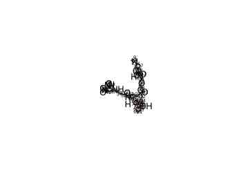 CCN(CC)c1ccc2cc(C(=O)NCCOCCOC(=O)C(/C=C/c3ccc(NC(=O)CCCCCNc4ccc([N+](=O)[O-])c5nonc45)cc3)=C/CCC(C)(C)[Si](O)(c3ccccc3)c3ccccc3)c(=O)oc2c1